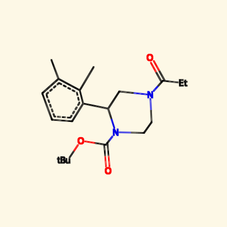 CCC(=O)N1CCN(C(=O)OC(C)(C)C)C(c2cccc(C)c2C)C1